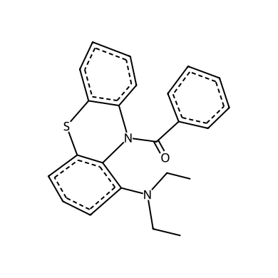 CCN(CC)c1cccc2c1N(C(=O)c1ccccc1)c1ccccc1S2